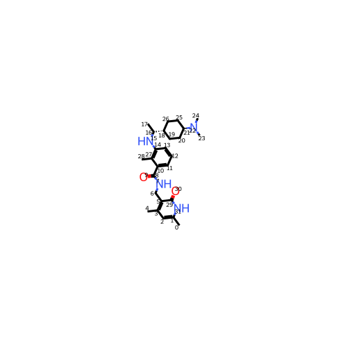 Cc1cc(C)c(CNC(=O)c2cccc(NC(C)[C@H]3CC[C@H](N(C)C)CC3)c2C)c(=O)[nH]1